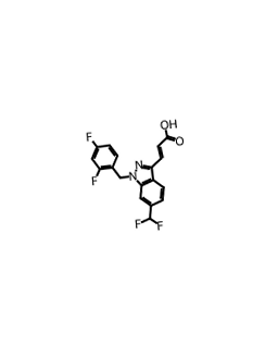 O=C(O)C=Cc1nn(Cc2ccc(F)cc2F)c2cc(C(F)F)ccc12